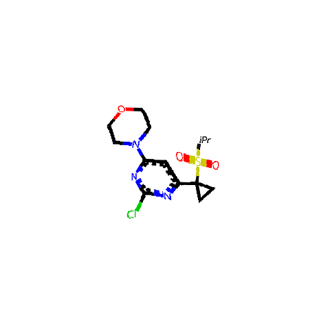 CC(C)S(=O)(=O)C1(c2cc(N3CCOCC3)nc(Cl)n2)CC1